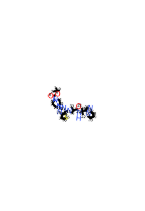 CC(C)(C)OC(=O)N1CCCN(c2nc(N3CC(C(=O)NC(C)(C)c4cnc5ccccn45)C3)c3sccc3n2)CC1